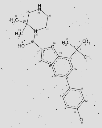 CC(C)(C)c1cc(-c2ccc(Cl)cc2)nc2cc(C(O)N3CCNCC3(C)C)oc12